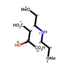 COCCNCCOC.O=C(O)CC(O)C(=O)O